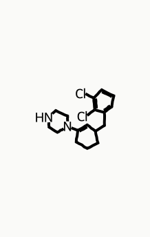 Clc1cccc(CC2C=C(N3CCNCC3)CCC2)c1Cl